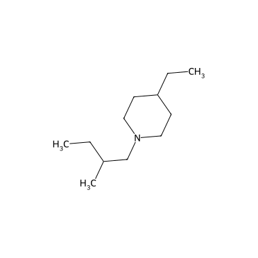 CCC(C)CN1CCC(CC)CC1